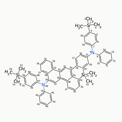 C[Si](C)(C)c1ccc(N(c2ccccc2)c2ccc3c(c2)[Si](C)(C)c2cccc4c2c-3cc2c3ccccc3c(N(c3ccccc3)c3ccc([Si](C)(C)C)cc3)cc42)cc1